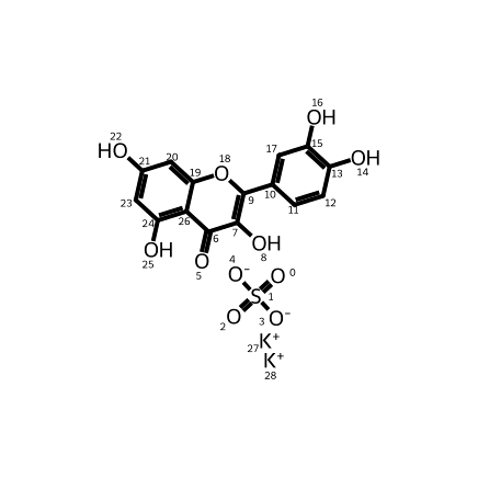 O=S(=O)([O-])[O-].O=c1c(O)c(-c2ccc(O)c(O)c2)oc2cc(O)cc(O)c12.[K+].[K+]